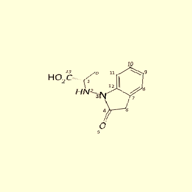 C[C@H](NN1C(=O)Cc2ccccc21)C(=O)O